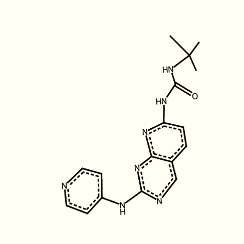 CC(C)(C)NC(=O)Nc1ccc2cnc(Nc3ccncc3)nc2n1